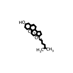 CC(C)CCCC[C@H]1CCC2C3CC=C4CC(O)CC[C@]4(C)C3CC[C@@]21C